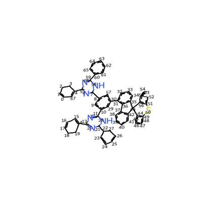 C1=CCCC(C2=NC(c3cc(C4=NC(C5=CC=CCC5)=NC(C5C=CC=CC5)N4)cc(-c4cccc5c4-c4ccccc4C54c5ccccc5Sc5ccccc54)c3)NC(c3ccccc3)=N2)=C1